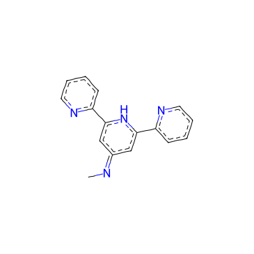 CN=c1cc(-c2ccccn2)[nH]c(-c2ccccn2)c1